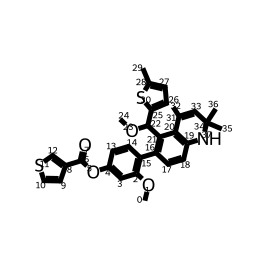 COc1cc(OC(=O)c2ccsc2)ccc1-c1ccc2c(c1C(OC)c1ccc(C)s1)C(C)=CC(C)(C)N2